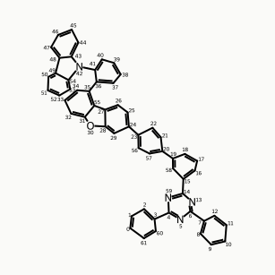 c1ccc(-c2nc(-c3ccccc3)nc(-c3cccc(-c4ccc(-c5ccc6c(c5)oc5cccc(-c7ccccc7-n7c8ccccc8c8ccccc87)c56)cc4)c3)n2)cc1